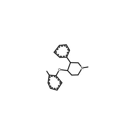 Cc1ccccc1OC1CCN(C)CC1c1ccccc1